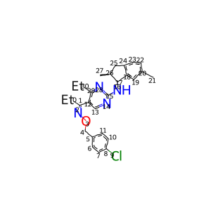 CC/C(=N/OCc1ccc(Cl)cc1)c1cnc(N[C@H]2c3cc(C)ccc3C[C@@H]2C)nc1CC